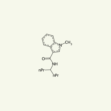 CCCC(CCC)NC(=O)c1cn(C)c2ccccc12